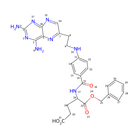 Nc1nc(N)c2nc(CCNc3ccc(C(=O)NC(CCC(=O)O)C(=O)OCc4ccccc4)cc3)cnc2n1